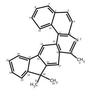 Cc1nc2ccc3ccccc3c2c2cc3c(cc12)C(C)(C)c1ccccc1-3